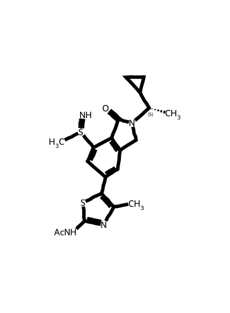 CC(=O)Nc1nc(C)c(-c2cc3c(c(S(C)=N)c2)C(=O)N([C@@H](C)C2CC2)C3)s1